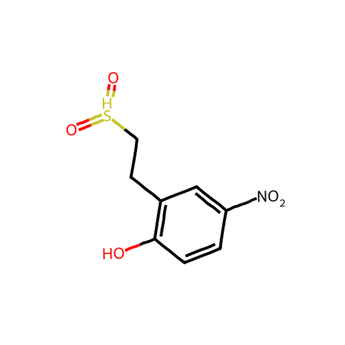 O=[N+]([O-])c1ccc(O)c(CC[SH](=O)=O)c1